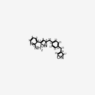 Nc1ncccc1-c1cc(Cc2ccc(Cc3cnoc3)cc2)no1